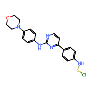 ClSNc1ccc(-c2ccnc(Nc3ccc(N4CCOCC4)cc3)n2)cc1